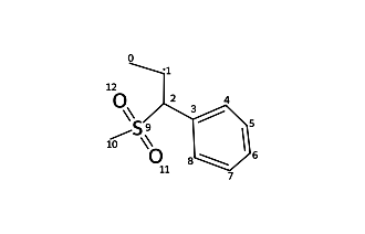 C[CH]C(c1ccccc1)S(C)(=O)=O